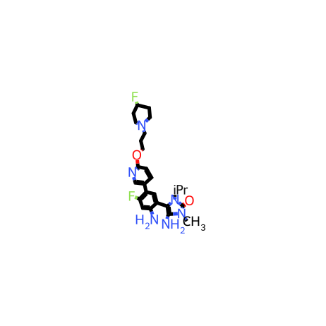 CC(C)n1c(-c2cc(-c3ccc(OCCCN4CCC(F)CC4)nc3)c(F)cc2N)c(N)n(C)c1=O